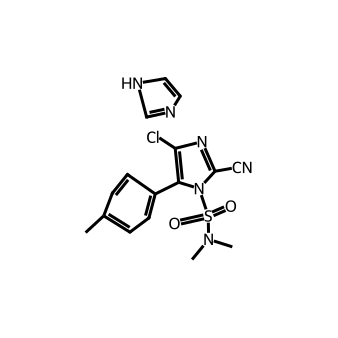 Cc1ccc(-c2c(Cl)nc(C#N)n2S(=O)(=O)N(C)C)cc1.c1c[nH]cn1